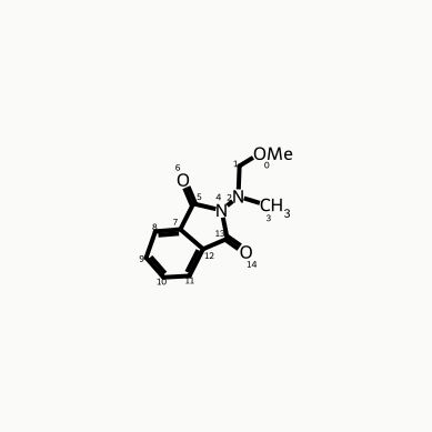 COCN(C)N1C(=O)c2ccccc2C1=O